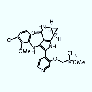 COc1c(Cl)cccc1Nc1c(-c2ccncc2OC[C@@H](C)OC)[nH]c2c1C(=O)N[C@H]1C[C@@H]21